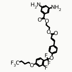 Nc1cc(N)cc(C(=O)OCCOC(=O)C=Cc2ccc(OC(F)(F)c3ccc(OCCCC(F)(F)F)cc3F)cc2)c1